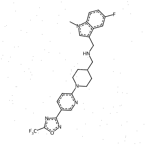 Cn1cc(CNCC2CCN(c3ccc(-c4noc(C(F)(F)F)n4)cn3)CC2)c2cc(F)ccc21